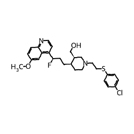 COc1ccc2nccc([C@H](F)CC[C@@H]3CCN(CCSc4ccc(Cl)cc4)C[C@@H]3CO)c2c1